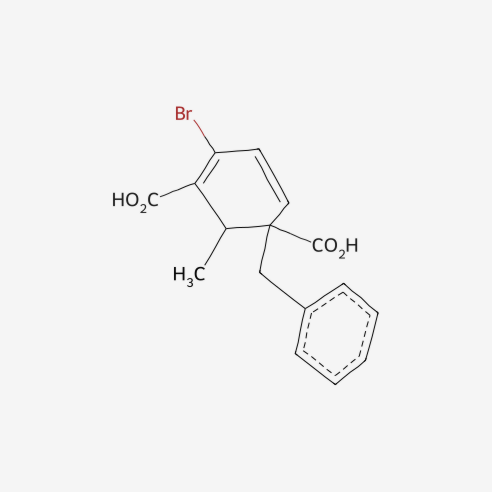 CC1C(C(=O)O)=C(Br)C=CC1(Cc1ccccc1)C(=O)O